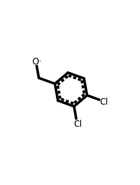 [O]Cc1ccc(Cl)c(Cl)c1